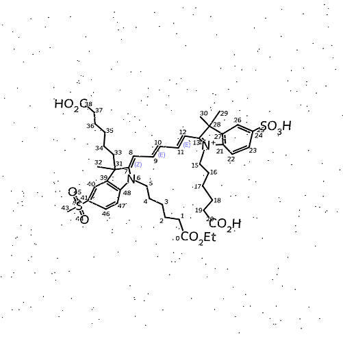 CCOC(=O)CCCCCN1\C(=C/C=C/C=C/C2=[N+](CCCCCC(=O)O)c3ccc(S(=O)(=O)O)cc3C2(C)C)C(C)(CCCCCC(=O)O)c2cc(S(C)(=O)=O)ccc21